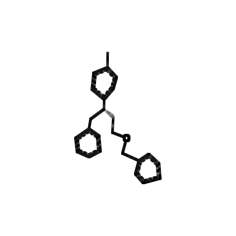 Cc1ccc([C@H](CCOCc2ccccc2)Cc2ccccc2)cc1